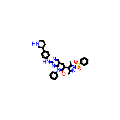 Cc1nn(S(=O)(=O)c2ccccc2)c(C)c1-c1cc2cnc(Nc3ccc(C4CCCNC4)cc3)nc2n(-c2ccccc2)c1=O